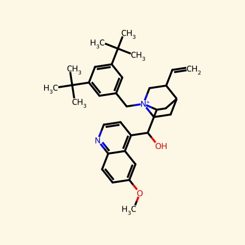 C=CC1C[N+]2(Cc3cc(C(C)(C)C)cc(C(C)(C)C)c3)CCC1CC2C(O)c1ccnc2ccc(OC)cc12